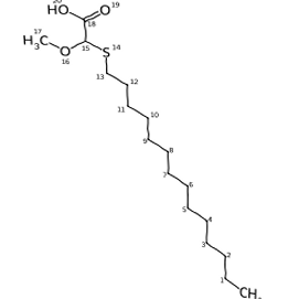 CCCCCCCCCCCCCCSC(OC)C(=O)O